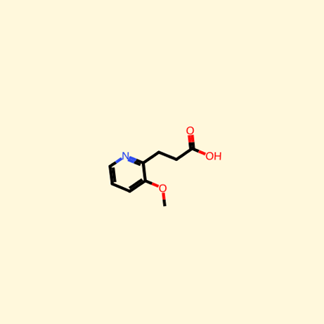 COc1cccnc1CCC(=O)O